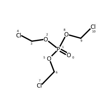 O=P(OCCl)(OCCl)OCCl